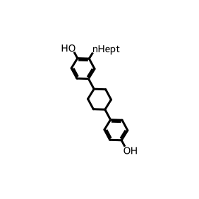 CCCCCCCc1cc(C2CCC(c3ccc(O)cc3)CC2)ccc1O